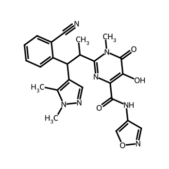 Cc1c(C(c2ccccc2C#N)C(C)c2nc(C(=O)Nc3cnoc3)c(O)c(=O)n2C)cnn1C